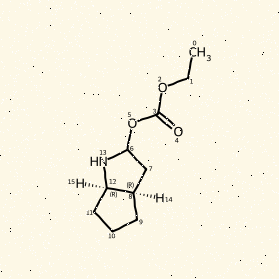 CCOC(=O)OC1C[C@H]2CCC[C@H]2N1